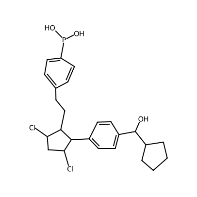 OC(c1ccc(C2C(Cl)CC(Cl)C2CCc2ccc(P(O)O)cc2)cc1)C1CCCC1